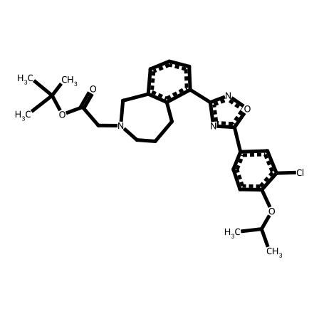 CC(C)Oc1ccc(-c2nc(-c3cccc4c3CCCN(CC(=O)OC(C)(C)C)C4)no2)cc1Cl